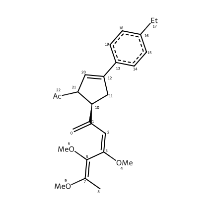 C=C(/C=C(OC)\C(OC)=C(/C)OC)[C@@H]1CC(c2ccc(CC)cc2)=CC1C(C)=O